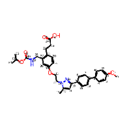 COc1ccc(-c2ccc(-c3cc(C)n(CCOc4ccc(CCC(=O)O)c(CNC(=O)OC(C)C)c4)n3)cc2)cc1